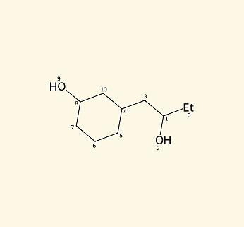 CCC(O)CC1CCCC(O)C1